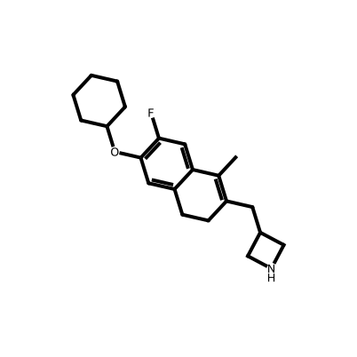 CC1=C(CC2CNC2)CCc2cc(OC3CCCCC3)c(F)cc21